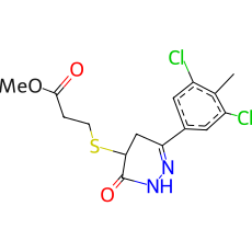 COC(=O)CCSC1CC(c2cc(Cl)c(C)c(Cl)c2)=NNC1=O